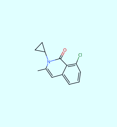 Cc1cc2cccc(Cl)c2c(=O)n1C1CC1